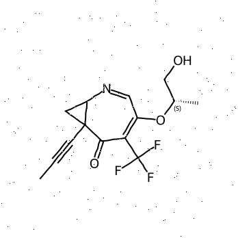 CC#CC12CC1N=CC(O[C@@H](C)CO)=C(C(F)(F)F)C2=O